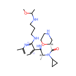 C=C(C)/N=C(NCCCNC(C)OC)\C(=C/C)C(=N)[C@@H](C)N(C(=O)[C@H]1CNCCO1)C1CC1